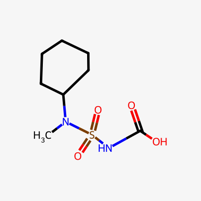 CN(C1CCCCC1)S(=O)(=O)NC(=O)O